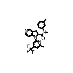 Cc1cccc(N(C)C(=O)[C@@H]2Cc3cnccc3N2c2cc(C(F)(F)F)cc(C)n2)c1